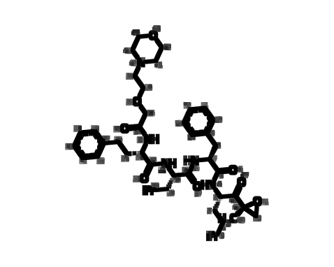 CC(C)CC[C@H](NC(=O)[C@H](Cc1ccccc1)NC(=O)[C@H](CC(C)C)NC(=O)[C@H](CCc1ccccc1)NC(=O)COCCN1CCOCC1)C(=O)[C@@]1(C)CO1